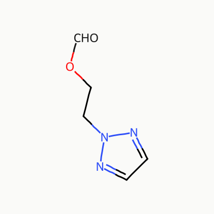 O=COCCn1nccn1